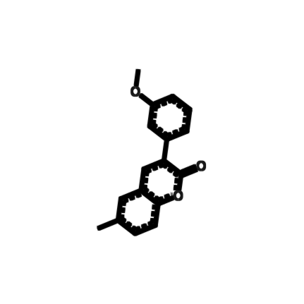 COc1cccc(-c2cc3cc(C)ccc3oc2=O)c1